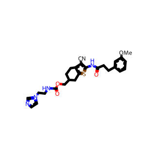 COc1cccc(CCC(=O)Nc2sc3c(c2C#N)CCC(COC(=O)NCCn2ccnc2)C3)c1